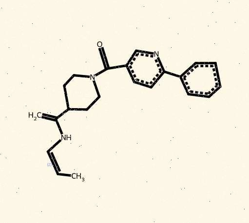 C=C(N/C=C\C)C1CCN(C(=O)c2ccc(-c3ccccc3)nc2)CC1